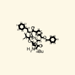 C=CCOC(=O)[C@@H](C)C[C@H](Cc1ccccc1)NC(=O)c1csc([C@@H](C[C@H](C(C)C)N(C)C(=O)[C@@H](N)[C@@H](C)CC)OCc2ccccc2)n1